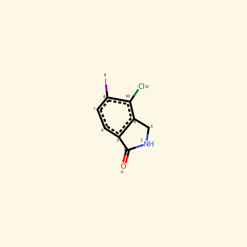 O=C1NCc2c1ccc(I)c2Cl